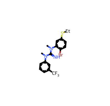 CCSc1ccc(Br)c(N(C)C(=N)N(C)c2cccc(C(F)(F)F)c2)c1